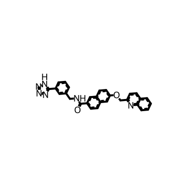 O=C(NCc1cccc(-c2nnn[nH]2)c1)c1ccc2cc(OCc3ccc4ccccc4n3)ccc2c1